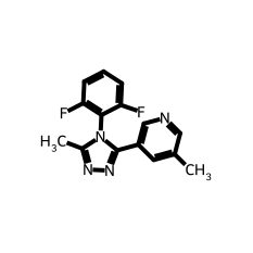 Cc1cncc(-c2nnc(C)n2-c2c(F)cccc2F)c1